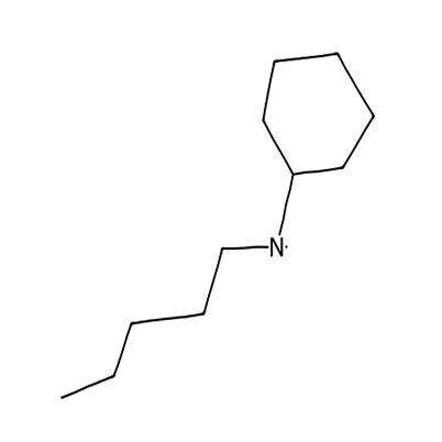 CCCCC[N]C1CCCCC1